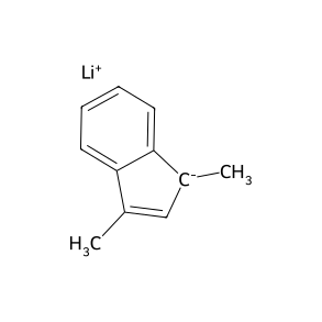 Cc1c[c-](C)c2ccccc12.[Li+]